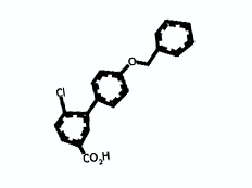 O=C(O)c1ccc(Cl)c(-c2ccc(OCc3ccccc3)cc2)c1